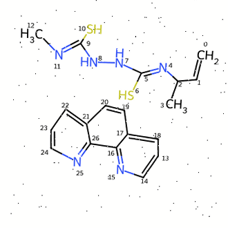 C=CC(C)N=C(S)NNC(S)=NC.c1cnc2c(c1)ccc1cccnc12